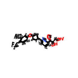 N#Cc1cc(Oc2ccc(-c3cccc(C(=O)[C@H](O)CO)n3)cc2)ccc1C(F)(F)F